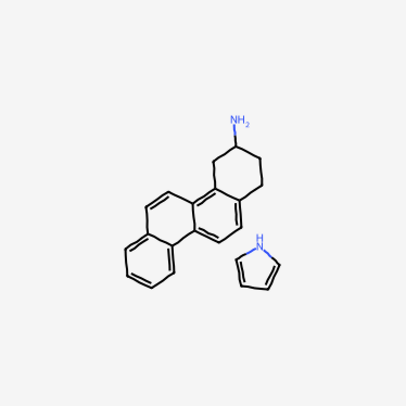 NC1CCc2ccc3c(ccc4ccccc43)c2C1.c1cc[nH]c1